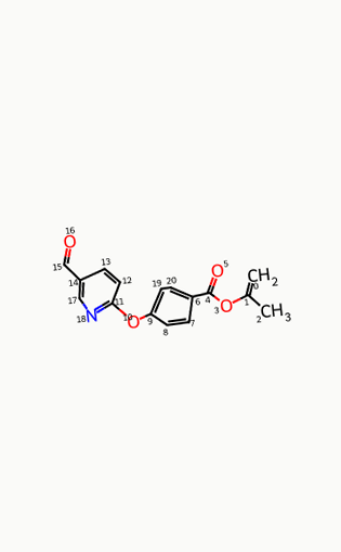 C=C(C)OC(=O)c1ccc(Oc2ccc(C=O)cn2)cc1